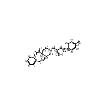 CC1Oc2ccccc2COC12CCN(CC(O)COc1ccc(F)cc1)CC2